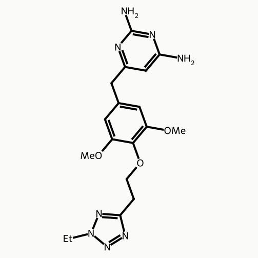 CCn1nnc(CCOc2c(OC)cc(Cc3cc(N)nc(N)n3)cc2OC)n1